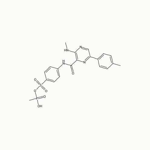 CNc1ncc(-c2ccc(C)cc2)nc1C(=O)Nc1ccc(S(=O)(=O)OP(C)(=O)O)cc1